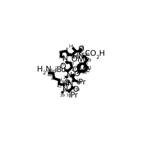 CCC(C)C(C(CC(=O)N1CCCC1C(OC)C(C)C(=O)NC(Cc1ccccc1)C(=O)O)OC)N(C)C(=O)C(NC(=O)C(C(C)C)N(C)C(=O)CCCCCN)C(C)C